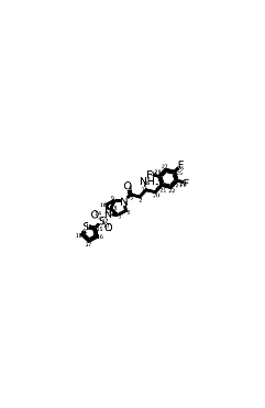 N[C@@H](CC(=O)N1CC2CC1CN2S(=O)(=O)c1cccs1)Cc1cc(F)c(F)cc1F